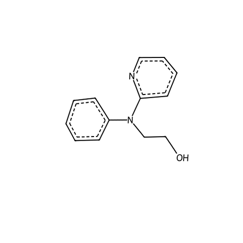 OCCN(c1ccccc1)c1ccccn1